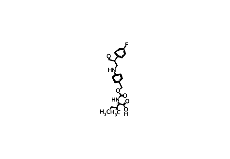 CC[C@H](C)[C@H](NC(=O)OCc1ccc(NCC(C=O)c2ccc(F)cc2)cc1)C(=O)O